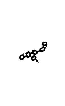 N#Cc1cccc(-c2cc(-c3ccc4oc5ccccc5c4c3)ccc2-c2ccc3c(c2)oc2ccccc23)c1